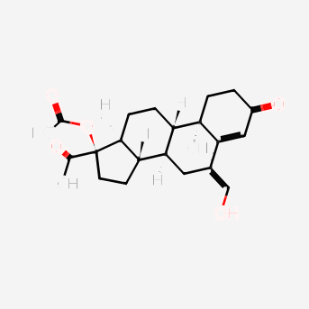 CC(=O)O[C@]1(C(C)=O)CC[C@H]2[C@@H]3C/C(=C\O)C4=CC(=O)CC[C@]4(C)[C@H]3CC[C@@]21C